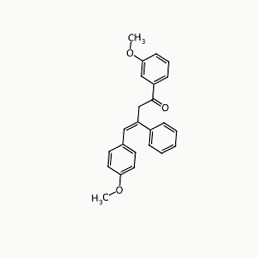 COc1ccc(C=C(CC(=O)c2cccc(OC)c2)c2ccccc2)cc1